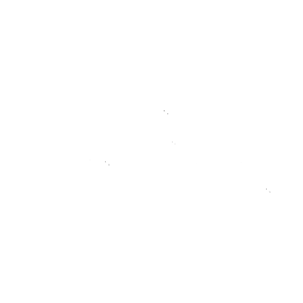 Cn1c(Cc2ccc(C#N)cc2)nc2ccc(NS(=O)(=O)c3ccccc3)cc21